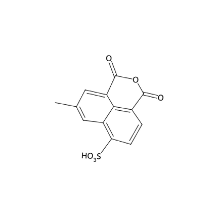 Cc1cc2c3c(ccc(S(=O)(=O)O)c3c1)C(=O)OC2=O